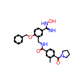 Cc1cc(C(=O)NCc2cc(C(=N)NO)ccc2OCc2ccccc2)ccc1C(=O)N1CCCC1